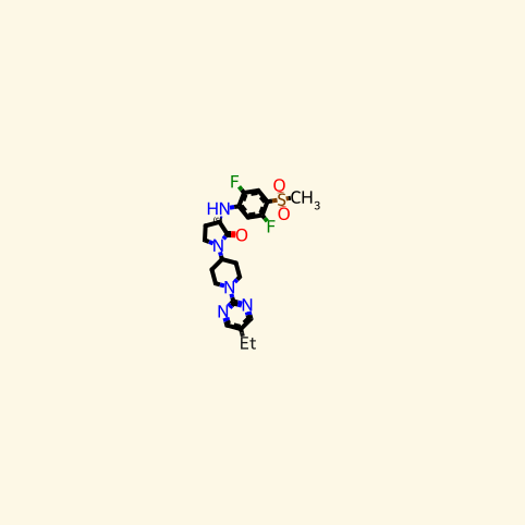 CCc1cnc(N2CCC(N3CC[C@H](Nc4cc(F)c(S(C)(=O)=O)cc4F)C3=O)CC2)nc1